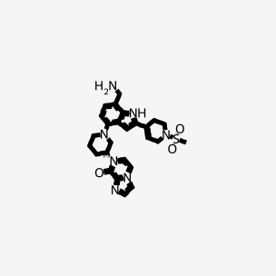 CS(=O)(=O)N1CC=C(c2cc3c(N4CCC[C@@H](n5ccn6ccnc6c5=O)C4)ccc(CN)c3[nH]2)CC1